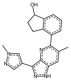 Cc1cc2[nH]nc(-c3cnn(C)c3)c2nc1-c1cccc2c1CCC2O